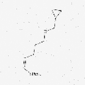 CCCCC/C=C\CCCOCC1CC1